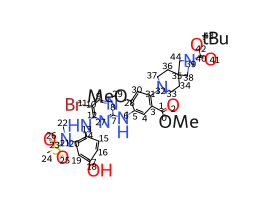 COC(=O)c1cc(Nc2ncc(Br)c(Nc3ccc(O)cc3N(C)S(C)(=O)=O)n2)c(OC)cc1N1CCC2(CC1)CN(C(=O)OC(C)(C)C)C2